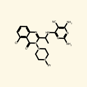 CC(Nc1nc(N)nc(N)c1C#N)c1nc2cccc(Cl)c2c(=O)n1N1CCN(C(C)C)CC1